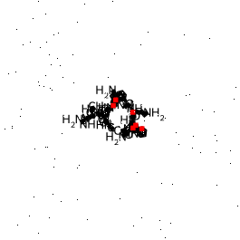 CC(=O)N[C@@H](CCCNC(=N)N)C(=O)N[C@H]1CC(=O)NCCCCC(C(N)=O)NC(=O)[C@H](Cc2c[nH]c3ccccc23)NC(=O)[C@H](CCCCN)NC(=O)[C@@H](Cc2ccccc2)NC(=O)[C@H](CCCCN)NC1=O